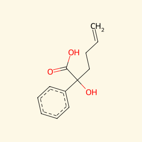 C=CCCC(O)(C(=O)O)c1ccccc1